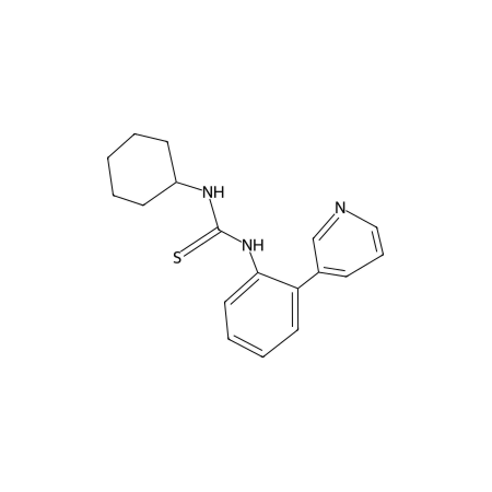 S=C(Nc1ccccc1-c1cccnc1)NC1CCCCC1